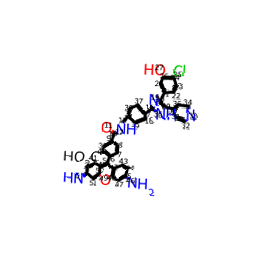 N=c1ccc2c(-c3ccc(C(=O)NCc4ccc(-c5nc(-c6ccc(Cl)c(O)c6)c(-c6ccncc6)[nH]5)cc4)cc3C(=O)O)c3ccc(N)cc3oc-2c1